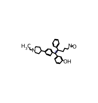 CCN1CCC(c2ccc(/C(=C(/CCCN=O)c3ccccc3)c3cccc(O)c3)cc2)CC1